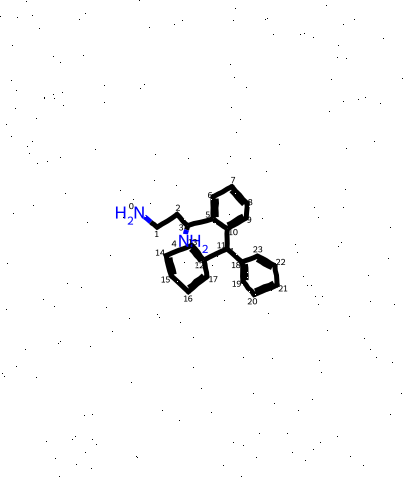 NCCC(N)c1ccccc1[C](c1ccccc1)c1ccccc1